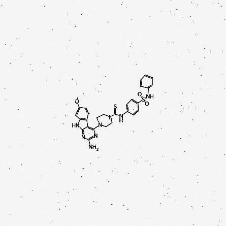 COc1ccc2c(c1)[nH]c1nc(N)nc(N3CCN(C(=S)Nc4ccc(S(=O)(=O)Nc5ccccc5)cc4)CC3)c12